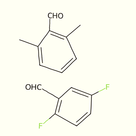 Cc1cccc(C)c1C=O.O=Cc1cc(F)ccc1F